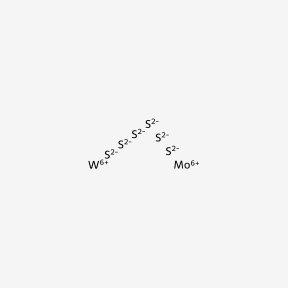 [Mo+6].[S-2].[S-2].[S-2].[S-2].[S-2].[S-2].[W+6]